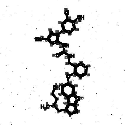 CN(CCO)Cc1cnc2sc3cc(Oc4ccccc4CNC(=O)Nc4cc(C(C)(C)C)nn4-c4ccc(O)c(Cl)c4)ccc3n12